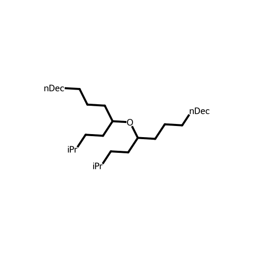 CCCCCCCCCCCCCC(CCC(C)C)OC(CCCCCCCCCCCCC)CCC(C)C